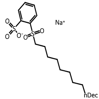 CCCCCCCCCCCCCCCCCCS(=O)(=O)c1ccccc1S(=O)(=O)[O-].[Na+]